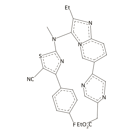 CCOC(=O)Cc1cnc(-c2ccc3nc(CC)c(N(C)c4nc(-c5ccc(F)cc5)c(C#N)s4)n3c2)cn1